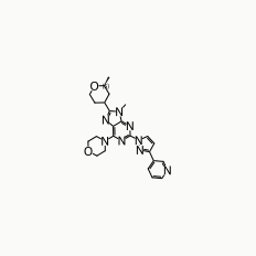 C[C@H]1CC(c2nc3c(N4CCOCC4)nc(-n4ccc(-c5cccnc5)n4)nc3n2C)CCO1